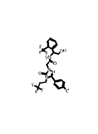 O=C(Cn1nc(-c2ccc(Cl)cc2)n(CCC(F)(F)F)c1=O)NC(CO)c1ccccc1C(F)(F)F